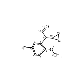 COc1ccc(F)cc1C(C=O)C1CC1